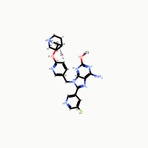 CCOc1nc(N)c2nc(-c3cncc(F)c3)n(Cc3ccc(O[C@H]4CN5CCC4CC5)nc3)c2n1